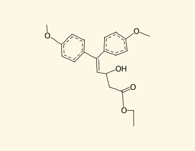 CCOC(=O)CC(O)C=C(c1ccc(OC)cc1)c1ccc(OC)cc1